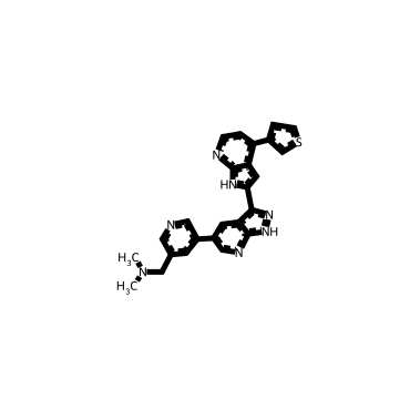 CN(C)Cc1cncc(-c2cnc3[nH]nc(-c4cc5c(-c6ccsc6)ccnc5[nH]4)c3c2)c1